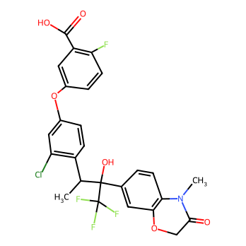 CC(c1ccc(Oc2ccc(F)c(C(=O)O)c2)cc1Cl)C(O)(c1ccc2c(c1)OCC(=O)N2C)C(F)(F)F